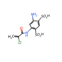 C=C(Cl)C(=O)Nc1cc(N)c(S(=O)(=O)O)cc1S(=O)(=O)O